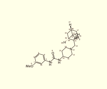 COc1cccc(NC(=O)NC2CCN(CC3=CC[C@H]4C[C@H]3C4(C)C)CC2)c1